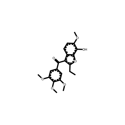 CCc1oc2c(O)c(OC)ccc2c1C(=O)c1cc(OC)c(OC)c(OC)c1